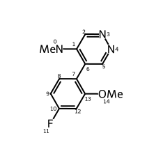 CNc1cnncc1-c1ccc(F)cc1OC